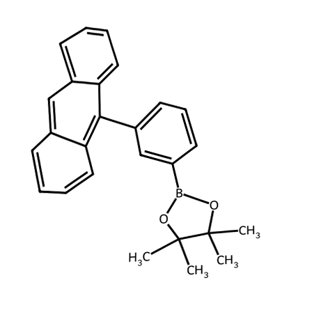 CC1(C)OB(c2cccc(-c3c4ccccc4cc4ccccc34)c2)OC1(C)C